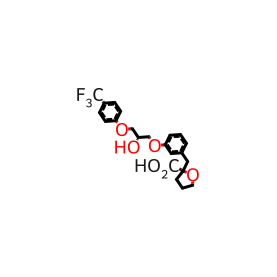 O=C(O)C1(Cc2cccc(OC[C@@H](O)COc3ccc(C(F)(F)F)cc3)c2)CCCO1